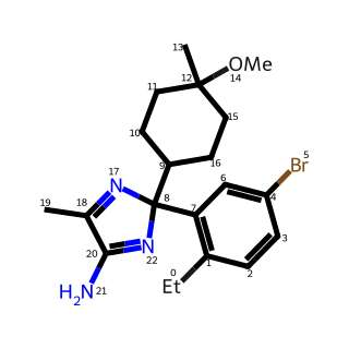 CCc1ccc(Br)cc1C1(C2CCC(C)(OC)CC2)N=C(C)C(N)=N1